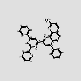 Cc1ccc2ccc3c(-c4ccccc4)cc(-c4cc(-c5ccccc5)nc(-c5ccccn5)n4)nc3c2n1